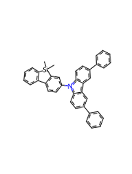 C[Si]1(C)c2ccccc2-c2ccc(-n3c4ccc(-c5ccccc5)cc4c4cc(-c5ccccc5)ccc43)cc21